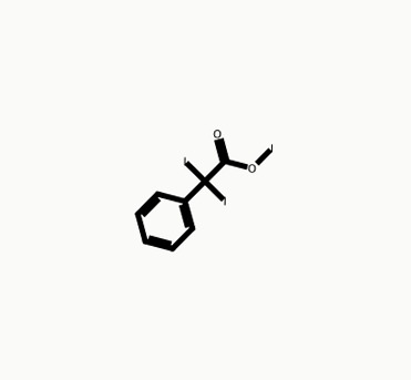 O=C(OI)C(I)(I)c1ccccc1